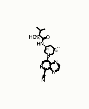 CC(C)[C@H](O)C(=O)N[C@@H]1C[C@H](C)CN(c2cnc(C#N)c3nccnc23)C1